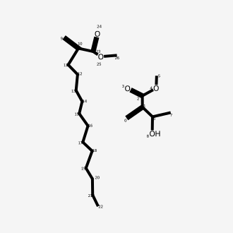 C=C(C(=O)OC)C(C)O.C=C(CCCCCCCCCCCC)C(=O)OC